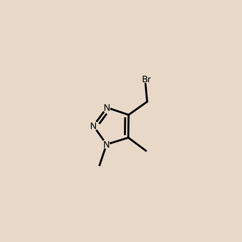 Cc1c(CBr)nnn1C